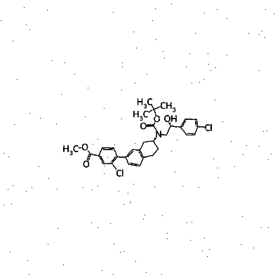 COC(=O)c1ccc(-c2ccc3c(c2)C[C@@H](N(C[C@@H](O)c2ccc(Cl)cc2)C(=O)OC(C)(C)C)CC3)c(Cl)c1